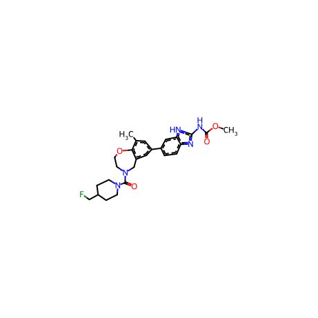 COC(=O)Nc1nc2ccc(-c3cc(C)c4c(c3)CN(C(=O)N3CCC(CF)CC3)CCO4)cc2[nH]1